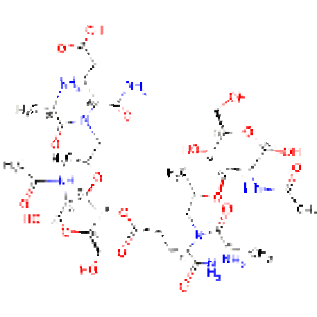 CC(=O)N[C@@H]1[C@@H](OC(C)CN(C(=O)[C@H](C)N)[C@H](CCC(=O)O)C(N)=O)[C@H](OC(=O)CC[C@@H](C(N)=O)N(CC(C)O[C@H]2[C@H](O)[C@@H](CO)O[C@H](O)[C@@H]2NC(C)=O)C(=O)[C@H](C)N)[C@@H](CO)O[C@@H]1O